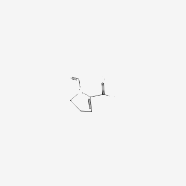 O=[C]N1CCC=C1C(=O)O